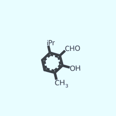 Cc1ccc(C(C)C)c(C=O)c1O